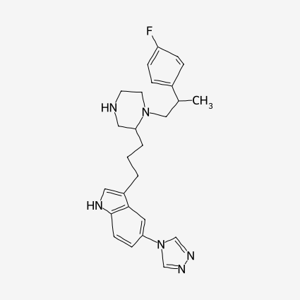 CC(CN1CCNCC1CCCc1c[nH]c2ccc(-n3cnnc3)cc12)c1ccc(F)cc1